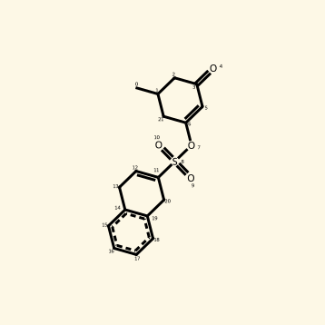 CC1CC(=O)C=C(OS(=O)(=O)C2=CCc3ccccc3C2)C1